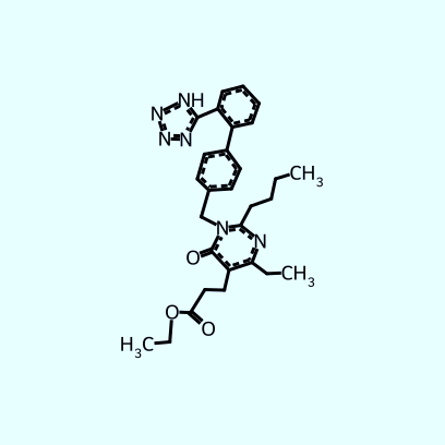 CCCCc1nc(CC)c(CCC(=O)OCC)c(=O)n1Cc1ccc(-c2ccccc2-c2nnn[nH]2)cc1